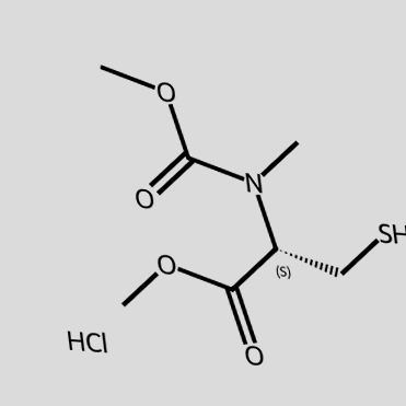 COC(=O)[C@@H](CS)N(C)C(=O)OC.Cl